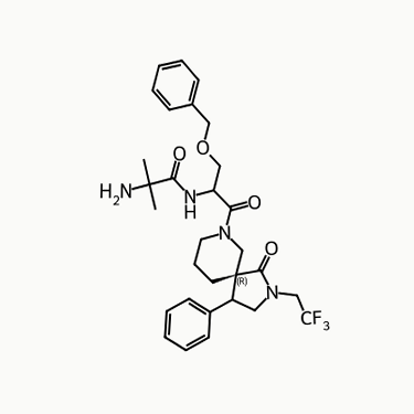 CC(C)(N)C(=O)NC(COCc1ccccc1)C(=O)N1CCC[C@@]2(C1)C(=O)N(CC(F)(F)F)CC2c1ccccc1